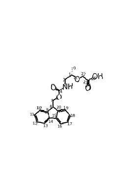 C[C@@H](CNC(=O)OCC1c2ccccc2-c2ccccc21)OCC(=O)O